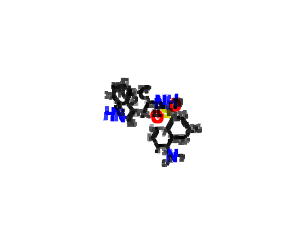 CN(C)c1cccc2c(S(=O)(=O)NC(Cc3c[nH]c4ccccc34)C(=O)O)cccc12